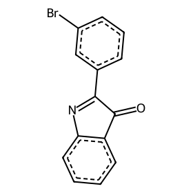 O=C1C(c2cccc(Br)c2)=Nc2ccccc21